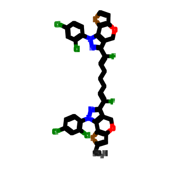 O=S(=O)(O)c1cc2c(s1)-c1c(c(/C(F)=C/CCC/C=C(\F)c3nn(-c4ccc(Cl)cc4Cl)c4c3COc3ccsc3-4)nn1-c1ccc(Cl)cc1Cl)CO2